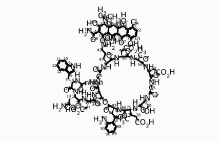 CCCCCCCCCC(=O)N[C@@H](Cc1c[nH]c2ccccc12)C(=O)N[C@@H](CC(N)=O)C(=O)N[C@@H](CC(=O)O)C(=O)N[C@H]1C(=O)NCC(=O)N[C@@H](CCCN)C(=O)N[C@@H](CC(=O)O)C(=O)N[C@H](C)C(=O)N[C@@H](CC(=O)O)C(=O)NCC(=O)N[C@H](CO)C(=O)N[C@H]([C@@H](C)CC(=O)O)C(=O)N[C@@H](CC(=O)c2ccccc2N)C(=O)OC1C.CN(C)[C@@H]1C(O)=C(C(N)=O)C(=O)[C@@]2(O)C(O)=C3C(=O)c4c(O)ccc(Cl)c4[C@@H](O)[C@H]3C[C@@H]12